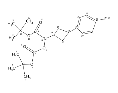 CC(C)(C)OC(=O)ON(C(=O)OC(C)(C)C)C1CC(c2ccc(F)cc2)C1